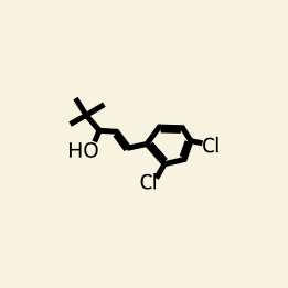 CC(C)(C)C(O)C=Cc1ccc(Cl)cc1Cl